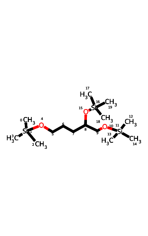 C[Si](C)(C)OCCCC(CO[Si](C)(C)C)O[Si](C)(C)C